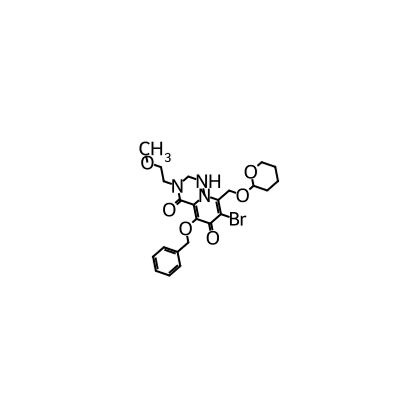 COCCN1CNn2c(COC3CCCCO3)c(Br)c(=O)c(OCc3ccccc3)c2C1=O